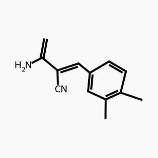 C=C(N)/C(C#N)=C/c1ccc(C)c(C)c1